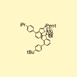 CCCC(C)C1=Cc2c(-c3ccc(C(C)C)cc3)cccc2[CH]1[Zr]([Cl])([Cl])([CH]1C(C)=Cc2c(-c3ccc(C(C)(C)C)cc3)cccc21)[SiH](C)C